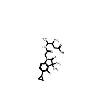 CC(CC(=O)O)C(C)NC(=O)CN1C(=O)C(C)(C)c2c1ccc(C1CC1)c2F